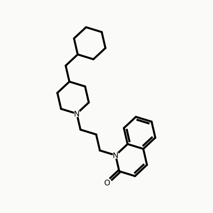 O=c1ccc2ccccc2n1CCCN1CCC(CC2CCCCC2)CC1